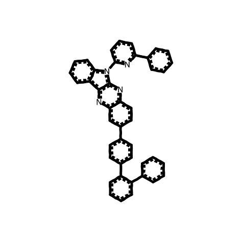 c1ccc(-c2cccc(-n3c4ccccc4c4nc5cc(-c6ccc(-c7ccccc7-c7ccccc7)cc6)ccc5nc43)n2)cc1